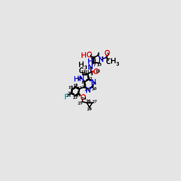 CC(=O)N1C[C@@H](O)[C@H](NC(=O)c2c(C)[nH]c3c(-c4ccc(F)cc4OCC4CC4)ncnc23)C1